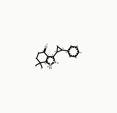 CC1(C)CCC(=O)c2c(C3CC3c3ccccc3)n[nH]c21